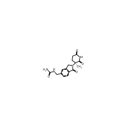 C[C@]1(N2Cc3cc(CNC(N)=O)ccc3C2=O)CCC(=O)NC1=O